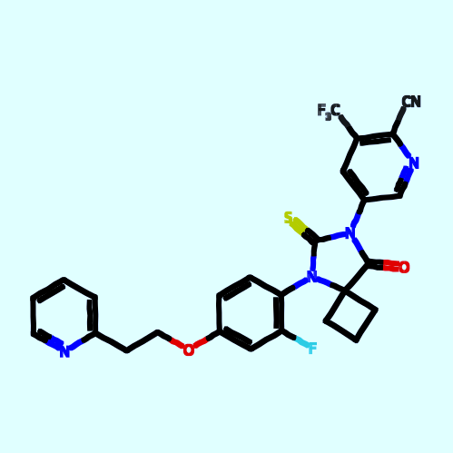 N#Cc1ncc(N2C(=O)C3(CCC3)N(c3ccc(OCCc4ccccn4)cc3F)C2=S)cc1C(F)(F)F